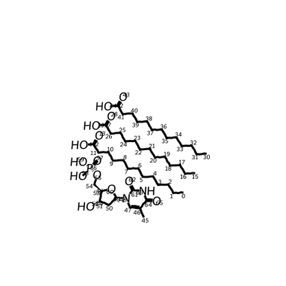 CCCCCCCCCCCCC(=O)O.CCCCCCCCCCCCC(=O)O.CCCCCCCCCCCCC(=O)O.Cc1cn([C@H]2C[C@H](O)[C@@H](COP(=O)(O)O)O2)c(=O)[nH]c1=O